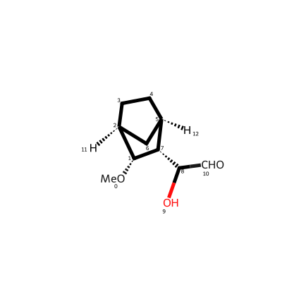 CO[C@@H]1[C@H]2CC[C@H](C2)[C@@H]1C(O)C=O